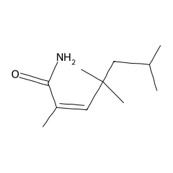 CC(=CC(C)(C)CC(C)C)C(N)=O